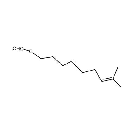 CC(C)=CCCCCCCCC=O